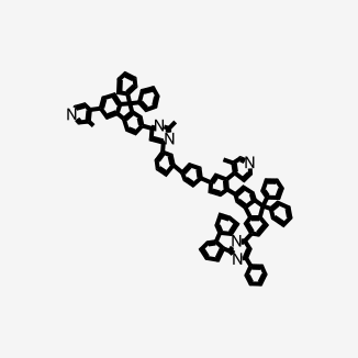 Cc1nc(-c2cccc(-c3ccc(-c4ccc(-c5ccc6c(c5)-c5cc(-c7cc(-c8ccccc8)nc(-c8ccccc8-c8ccccc8)n7)ccc5C6(c5ccccc5)c5ccccc5)c(-c5ccncc5C)c4)cc3)c2)cc(-c2ccc3c(c2)C(c2ccccc2)(c2ccccc2)c2ccc(-c4ccncc4C)cc2-3)n1